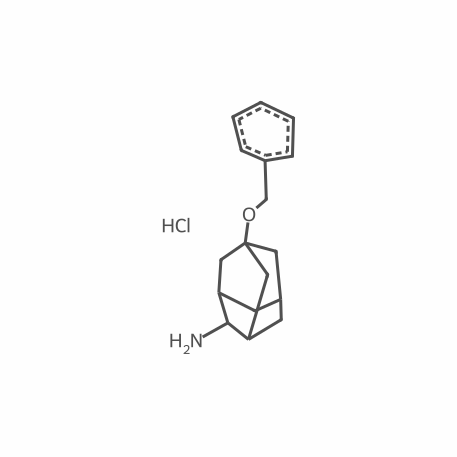 Cl.NC1C2CC3CC1CC(OCc1ccccc1)(C3)C2